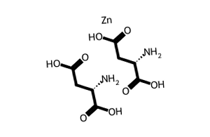 N[C@@H](CC(=O)O)C(=O)O.N[C@@H](CC(=O)O)C(=O)O.[Zn]